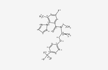 CCN(C(=O)c1cc(F)cc(C)c1-n1nccn1)[C@@H](C)COc1ccc(C(F)(F)F)cn1